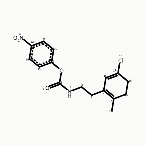 CC1=C(CCNC(=O)Oc2ccc([N+](=O)[O-])cc2)C=C(Cl)CC1